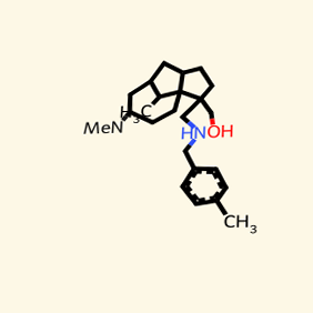 CNC1CCC23C(CCC2(CO)CNCc2ccc(C)cc2)CC(C1)C3C